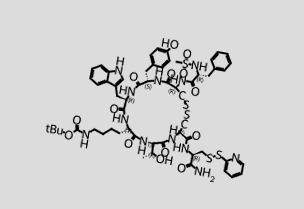 C[C@@H](O)[C@@H]1NC(=O)[C@H](CCCCNC(=O)OC(C)(C)C)NC(=O)[C@@H](Cc2c[nH]c3ccccc23)NC(=O)[C@H](Cc2ccc(O)cc2)NC(=O)[C@@H](NC(=O)[C@@H](Cc2ccccc2)NS(C)(=O)=O)CSSC[C@@H](C(=O)N[C@@H](CSSc2ccccn2)C(N)=O)NC1=O